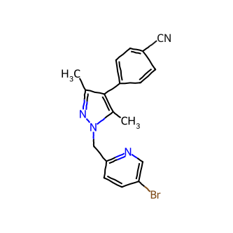 Cc1nn(Cc2ccc(Br)cn2)c(C)c1-c1ccc(C#N)cc1